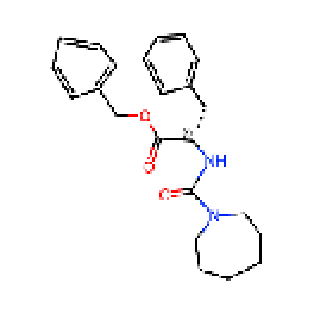 O=C(OCc1ccccc1)[C@H](Cc1ccccc1)NC(=O)N1CCCCCC1